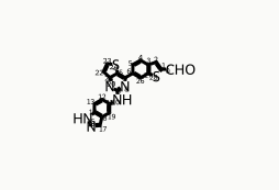 O=Cc1cc2ccc(-c3nc(Nc4ccc5[nH]ncc5c4)nc4ccsc34)cc2s1